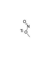 CON=O.[Ti]